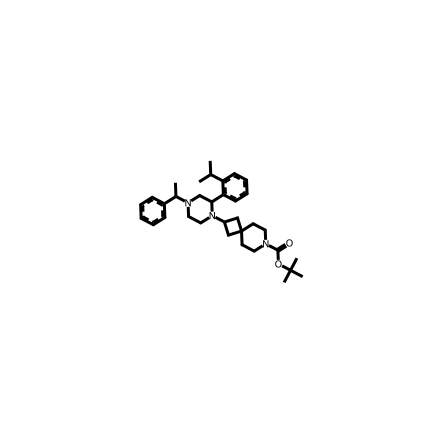 CC(C)c1ccccc1C1CN(C(C)c2ccccc2)CCN1C1CC2(CCN(C(=O)OC(C)(C)C)CC2)C1